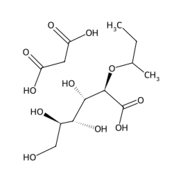 CCC(C)O[C@@H](C(=O)O)[C@@H](O)[C@H](O)[C@H](O)CO.O=C(O)CC(=O)O